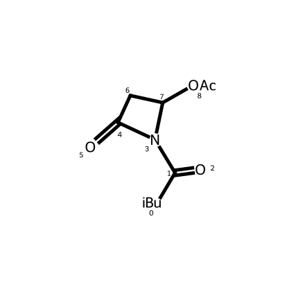 CCC(C)C(=O)N1C(=O)CC1OC(C)=O